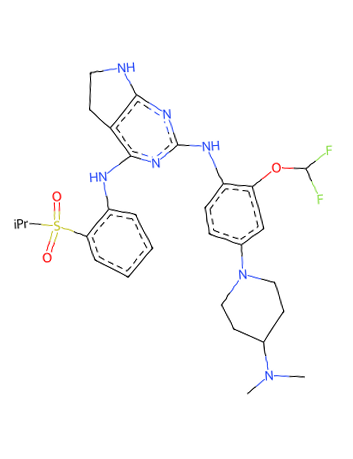 CC(C)S(=O)(=O)c1ccccc1Nc1nc(Nc2ccc(N3CCC(N(C)C)CC3)cc2OC(F)F)nc2c1CCN2